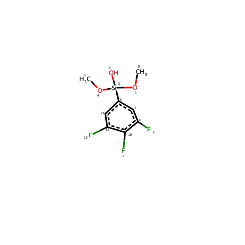 CO[Si](O)(OC)c1cc(F)c(F)c(F)c1